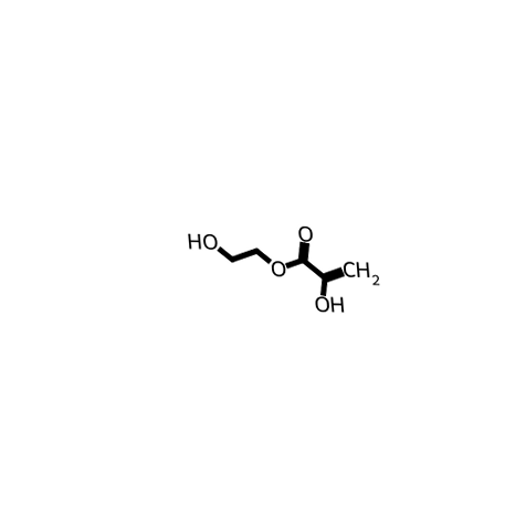 C=C(O)C(=O)OCCO